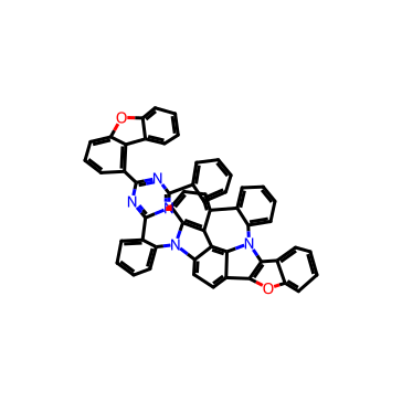 c1ccc(-c2nc(-c3ccccc3-n3c4cccc5c6ccccc6n6c7c8ccccc8oc7c7ccc3c(c54)c76)nc(-c3cccc4oc5ccccc5c34)n2)cc1